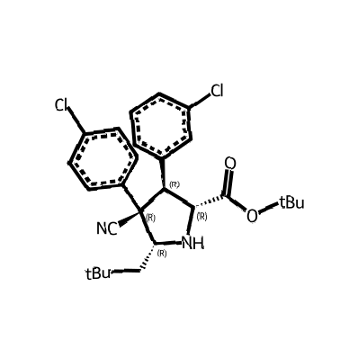 CC(C)(C)C[C@H]1N[C@@H](C(=O)OC(C)(C)C)[C@H](c2cccc(Cl)c2)[C@@]1(C#N)c1ccc(Cl)cc1